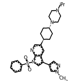 CC(C)N1CCN([C@H]2CC[C@H](c3cnc4c(c3)c(-c3cnn(C)c3)cn4S(=O)(=O)c3ccccc3)CC2)CC1